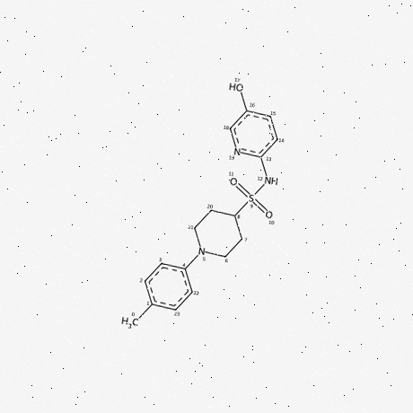 Cc1ccc(N2CCC(S(=O)(=O)Nc3ccc(O)cn3)CC2)cc1